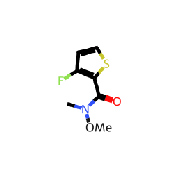 CON(C)C(=O)c1sccc1F